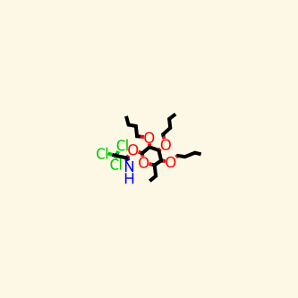 CCCCOC1C(CC)OC(OC(=N)C(Cl)(Cl)Cl)C(OCCCC)C1OCCCC